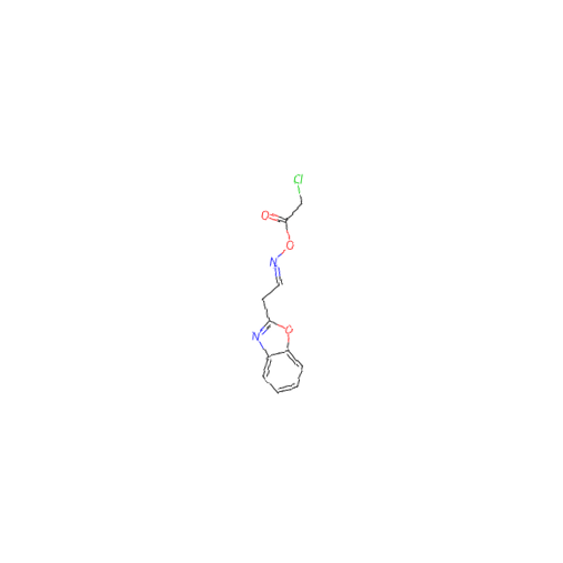 O=C(CCl)ON=CCc1nc2ccccc2o1